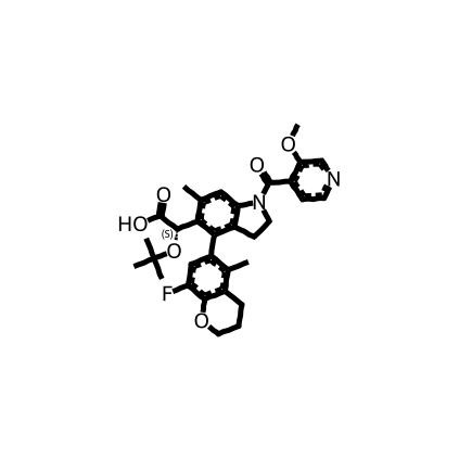 COc1cnccc1C(=O)N1CCc2c1cc(C)c([C@H](OC(C)(C)C)C(=O)O)c2-c1cc(F)c2c(c1C)CCCO2